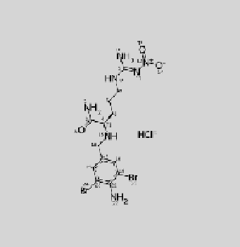 Cl.NC(=O)[C@@H](CCCNC(N)=N[N+](=O)[O-])NCc1cc(Br)c(N)c(Br)c1